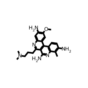 COc1cc2c(cc1N)nc(CCCN(C)C)c1c(N)nc3c(C)c(N)ccc3c12